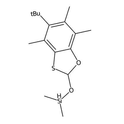 Cc1c(C)c(C(C)(C)C)c(C)c2c1OC(O[SiH](C)C)S2